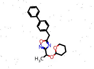 CC(OC1CCCCO1)c1noc(Cc2ccc(-c3ccccc3)cc2)n1